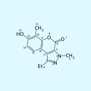 CCc1nn(C)c2c(=O)oc3c(C)c(O)ccc3c12